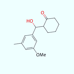 COc1cc(C)cc(C(O)C2CCCCC2=O)c1